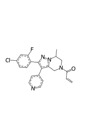 C=CC(=O)N1Cc2c(-c3ccncc3)c(-c3ccc(Cl)cc3F)nn2C(C)C1